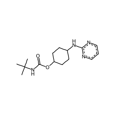 CC(C)(C)NC(=O)OC1CCC(Nc2ncccn2)CC1